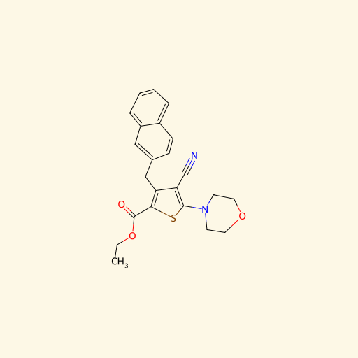 CCOC(=O)c1sc(N2CCOCC2)c(C#N)c1Cc1ccc2ccccc2c1